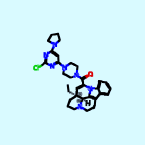 CC[C@@]12C=C(C(=O)N3CCN(c4cc(N5CCCC5)nc(Cl)n4)CC3)n3c4c(c5ccccc53)CCN(CCC1)[C@H]42